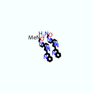 CNC(=O)CN1CCC2(CCn3nc(-c4cnc5ccccc5c4)cc32)C1.NC(=O)CN1CCC2(CCn3nc(-c4cnc5ccccc5c4)cc32)C1